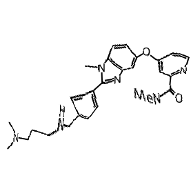 CNC(=O)c1cc(Oc2ccc3c(c2)nc(-c2ccc(CNCCCN(C)C)cc2)n3C)ccn1